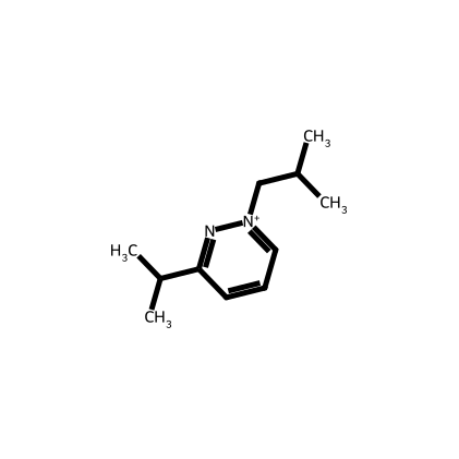 CC(C)C[n+]1cccc(C(C)C)n1